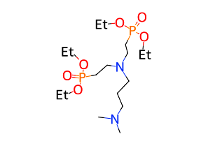 CCOP(=O)(CCN(CCCN(C)C)CCP(=O)(OCC)OCC)OCC